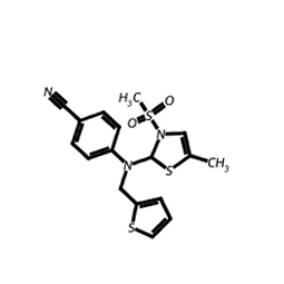 CC1=CN(S(C)(=O)=O)C(N(Cc2cccs2)c2ccc(C#N)cc2)S1